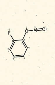 [O]=[Al][O]c1ccccc1F